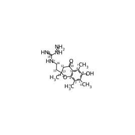 Cc1c(C)c2c(c(C)c1O)C(=O)CC(C)(CCNC(=N)NN)O2